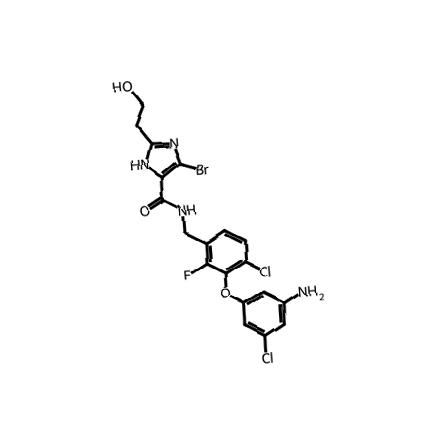 Nc1cc(Cl)cc(Oc2c(Cl)ccc(CNC(=O)c3[nH]c(CCO)nc3Br)c2F)c1